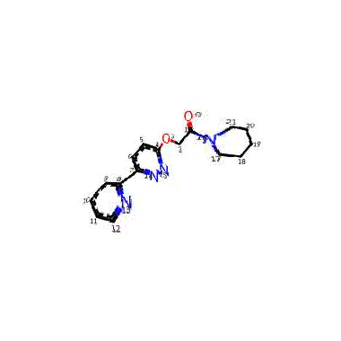 O=C(COc1ccc(-c2ccccn2)nn1)N1CCCCC1